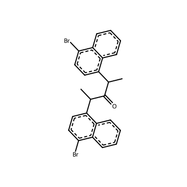 CC(C(=O)C(C)c1ccc(Br)c2ccccc12)c1ccc(Br)c2ccccc12